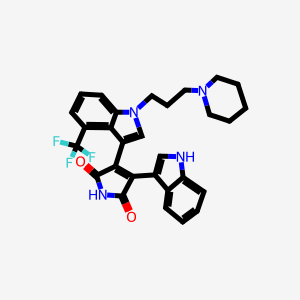 O=C1NC(=O)C(c2cn(CCCN3CCCCC3)c3cccc(C(F)(F)F)c23)=C1c1c[nH]c2ccccc12